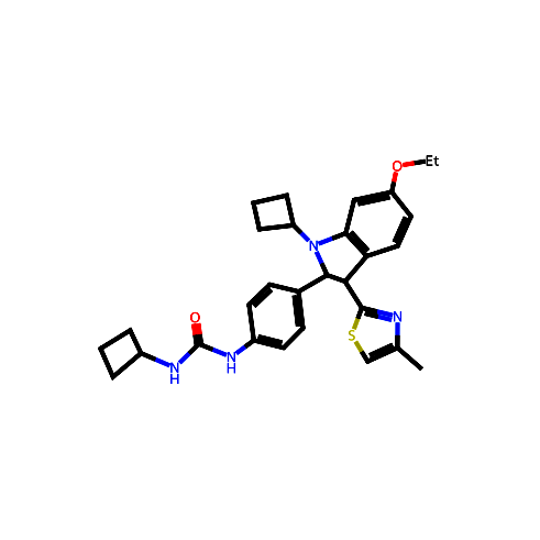 CCOc1ccc2c(c1)N(C1CCC1)C(c1ccc(NC(=O)NC3CCC3)cc1)C2c1nc(C)cs1